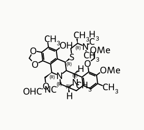 COCOc1c(OC)c(C)cc2c1[C@H]1C3[C@H](SC[C@@H](C)N(C)C)c4c(O)c(C)c5c(c4[C@H](COC=O)N3[C@@H](C#N)[C@@H](C2)N1C)OCO5